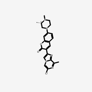 Cc1nc(Cl)cn2cc(-c3cc4ccc(N5CCN(C)[C@@H](C)C5)cc4oc3=O)nc12